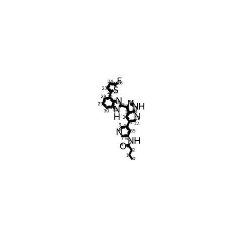 CCCC(=O)Nc1cncc(-c2cnc3[nH]nc(-c4nc5c(-c6ccc(F)s6)cccc5[nH]4)c3c2)c1